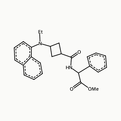 CCN(c1cccc2ccccc12)C1CC(C(=O)NC(C(=O)OC)c2ccccc2)C1